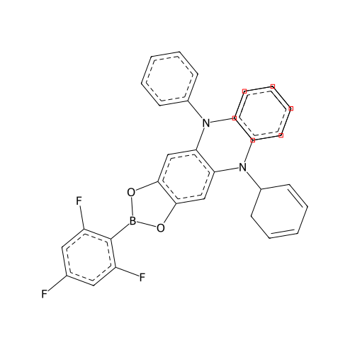 Fc1cc(F)c(B2Oc3cc(N(c4ccccc4)c4ccccc4)c(N(C4C=CC=CC4)C4C=CC=CC4)cc3O2)c(F)c1